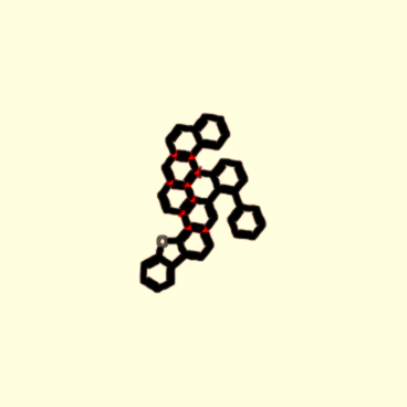 c1ccc(-c2ccccc2-c2c(-c3ccccc3)cccc2N(c2cccc(-c3cccc4c3oc3ccccc34)c2)c2cccc3ccccc23)cc1